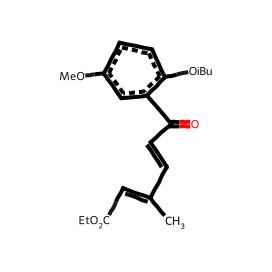 CCOC(=O)C=C(C)C=CC(=O)c1cc(OC)ccc1OCC(C)C